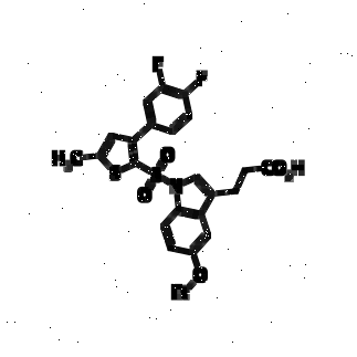 CCOc1ccc2c(c1)c(CCC(=O)O)cn2S(=O)(=O)c1sc(C)cc1-c1ccc(F)c(F)c1